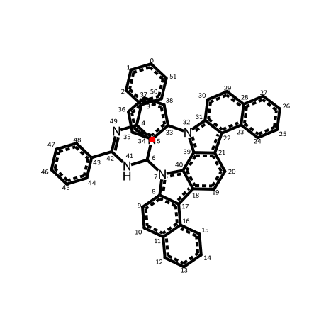 c1ccc(C2=NC(n3c4ccc5ccccc5c4c4ccc5c6c7ccccc7ccc6n(-c6ccccc6)c5c43)NC(c3ccccc3)=N2)cc1